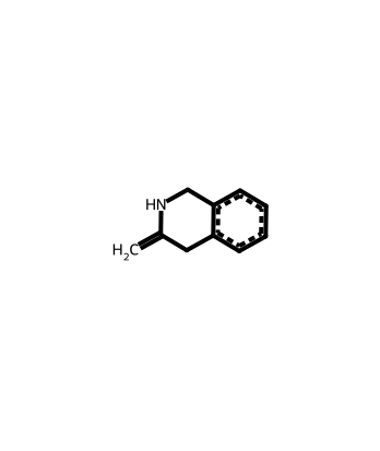 C=C1Cc2ccccc2CN1